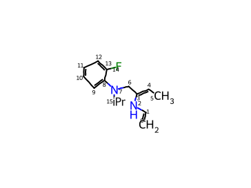 C=CN/C(=C\C)CN(c1ccccc1F)C(C)C